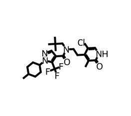 Cc1c(CCN(CC(C)(C)C)C(=O)c2cnn(C3CCC(C)CC3)c2C(F)(F)F)c(Cl)c[nH]c1=O